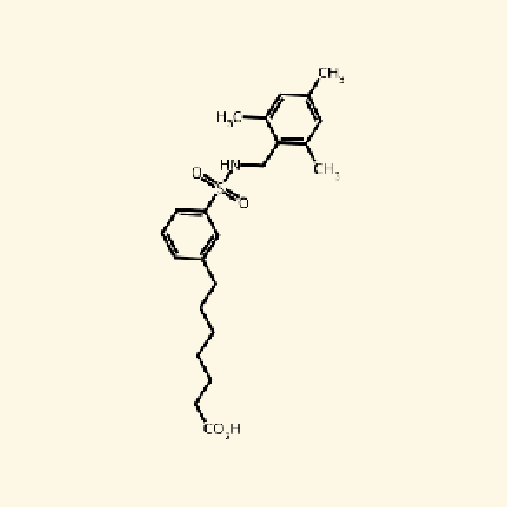 Cc1cc(C)c(CNS(=O)(=O)c2cccc(CCCCCCC(=O)O)c2)c(C)c1